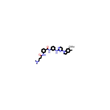 COc1cc2c(ccn2-c2ccnc(Nc3cccc(NC(=O)c4cccc(NC(=O)/C=C/CN(C)C)c4)c3)n2)cc1C